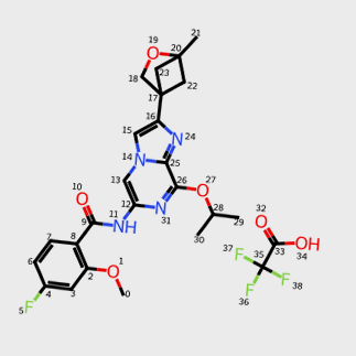 COc1cc(F)ccc1C(=O)Nc1cn2cc(C34COC(C)(C3)C4)nc2c(OC(C)C)n1.O=C(O)C(F)(F)F